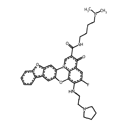 CN(C)CCCCNC(=O)c1cn2c3c(c(NCCN4CCCC4)c(F)cc3c1=O)Oc1cc3c(cc1-2)oc1ccccc13